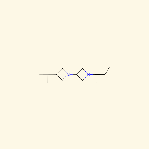 CCC(C)(C)N1CC(N2CC(C(C)(C)C)C2)C1